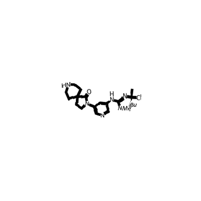 CC[C@@H](C)C(C)(Cl)/N=C(\NC)Nc1cncc(N2CCC3(CCNCC3)C2=O)c1